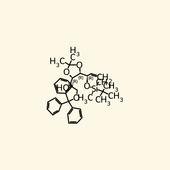 C=C[C@@H](O[Si](C)(C)C(C)(C)C)[C@@H]1OC(C)(C)O[C@@H]1[C@H](O)COC(c1ccccc1)(c1ccccc1)c1ccccc1